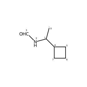 [CH2]C(NC=O)C1CCC1